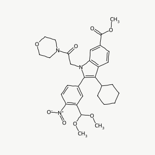 COC(=O)c1ccc2c(C3CCCCC3)c(-c3ccc([N+](=O)[O-])c(C(OC)OC)c3)n(CC(=O)N3CCOCC3)c2c1